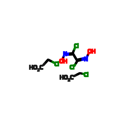 O/N=C(Cl)\C(Cl)=N/O.O=C(O)CCl.O=C(O)CCl